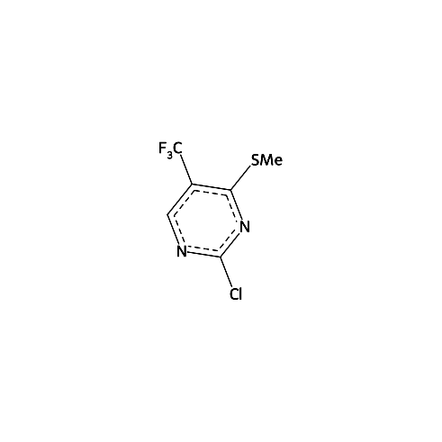 CSc1nc(Cl)ncc1C(F)(F)F